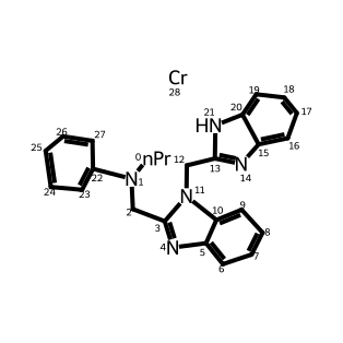 CCCN(Cc1nc2ccccc2n1Cc1nc2ccccc2[nH]1)c1ccccc1.[Cr]